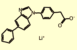 O=C([O-])Cc1ccc(-n2cnc3cc(-c4ccccc4)ccc32)cc1.[Li+]